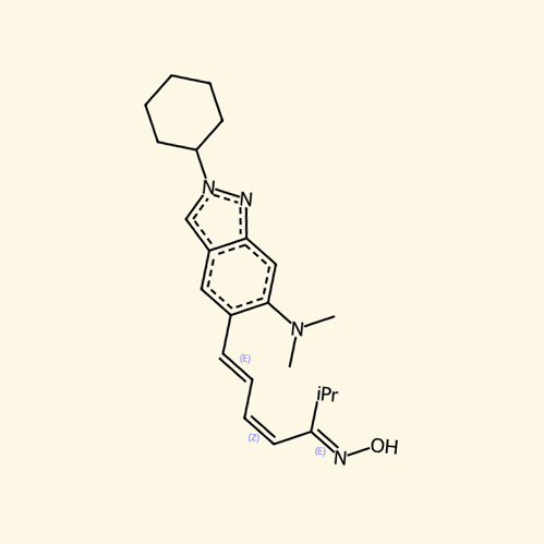 CC(C)C(/C=C\C=C\c1cc2cn(C3CCCCC3)nc2cc1N(C)C)=N\O